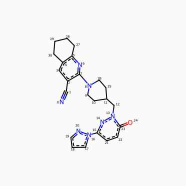 N#Cc1cc2c(nc1N1CCC(Cn3nc(-n4cccn4)ccc3=O)CC1)CCCC2